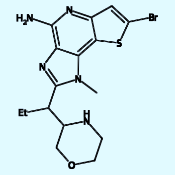 CCC(c1nc2c(N)nc3cc(Br)sc3c2n1C)C1COCCN1